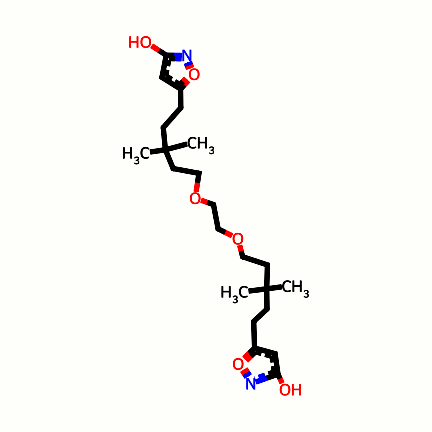 CC(C)(CCOCCOCCC(C)(C)CCc1cc(O)no1)CCc1cc(O)no1